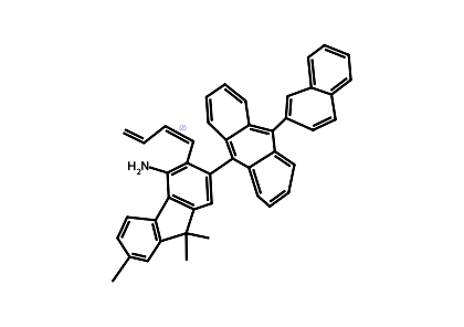 C=C/C=C\c1c(-c2c3ccccc3c(-c3ccc4ccccc4c3)c3ccccc23)cc2c(c1N)-c1ccc(C)cc1C2(C)C